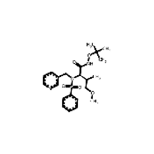 COCC(C)[C@H](C(=O)NOC(C)(C)C)N(Cc1cccnc1)S(=O)(=O)c1ccccc1